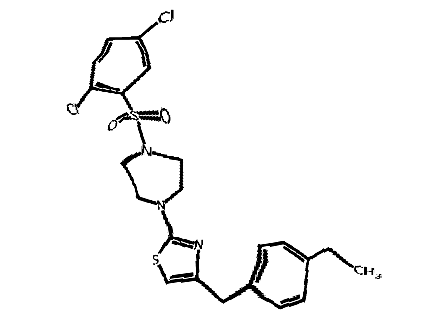 CCc1ccc(Cc2csc(N3CCN(S(=O)(=O)c4cc(Cl)ccc4Cl)CC3)n2)cc1